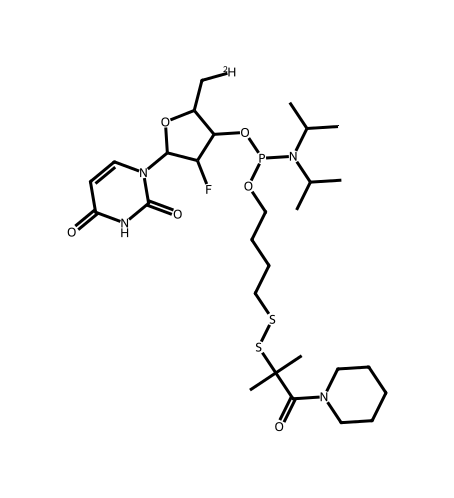 [2H]CC1OC(n2ccc(=O)[nH]c2=O)C(F)C1OP(OCCCCSSC(C)(C)C(=O)N1CCCCC1)N(C(C)C)C(C)C